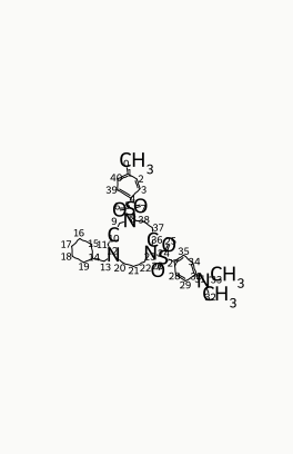 Cc1ccc(S(=O)(=O)N2CCCN(CC3CCCCC3)CCCN(S(=O)(=O)c3ccc(N(C)C)cc3)CCC2)cc1